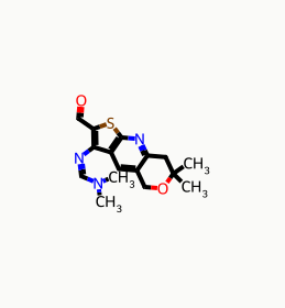 CN(C)/C=N\c1c(C=O)sc2nc3c(cc12)COC(C)(C)C3